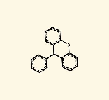 c1ccc([C]2c3ccccc3Sc3ccccc32)cc1